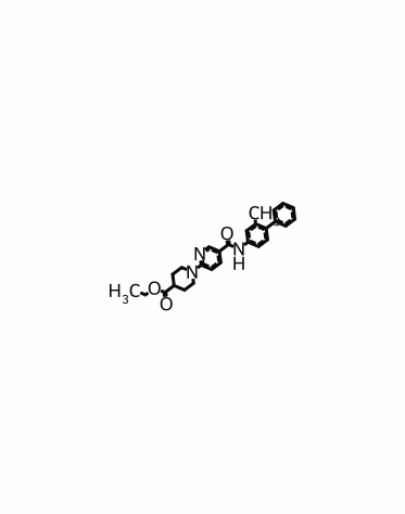 CCOC(=O)C1CCN(c2ccc(C(=O)Nc3ccc(-c4ccccc4)c(C)c3)cn2)CC1